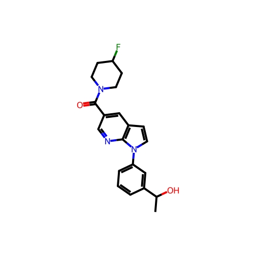 CC(O)c1cccc(-n2ccc3cc(C(=O)N4CCC(F)CC4)cnc32)c1